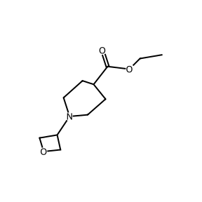 CCOC(=O)C1CCN(C2COC2)CC1